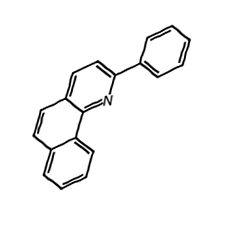 c1ccc(-c2ccc3ccc4ccccc4c3n2)cc1